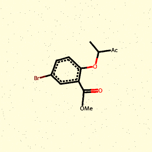 COC(=O)c1cc(Br)ccc1OC(C)C(C)=O